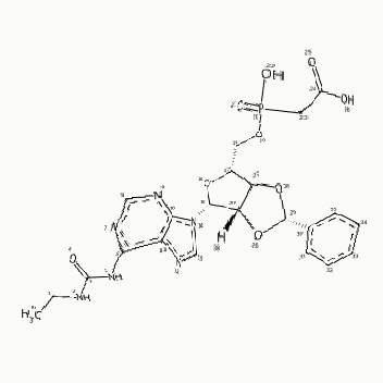 CCNC(=O)Nc1ncnc2c1ncn2[C@@H]1O[C@H](COP(=O)(O)CC(=O)O)C2O[C@H](c3ccccc3)O[C@@H]21